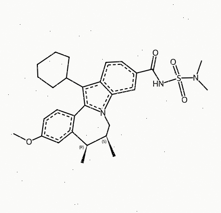 COc1ccc2c(c1)[C@H](C)[C@H](C)Cn1c-2c(C2CCCCC2)c2ccc(C(=O)NS(=O)(=O)N(C)C)cc21